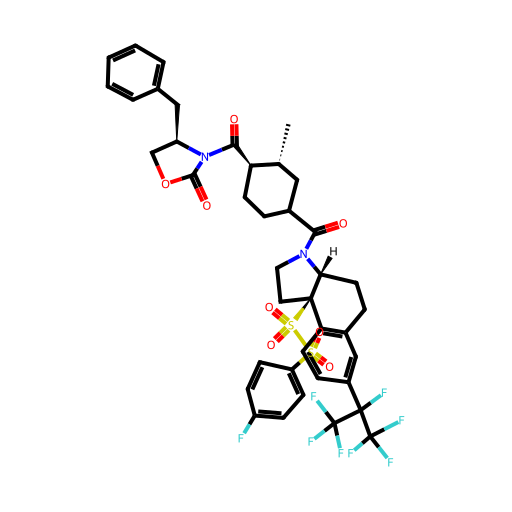 C[C@@H]1CC(C(=O)N2CC[C@@]3(S(=O)(=O)S(=O)(=O)c4ccc(F)cc4)c4ccc(C(F)(C(F)(F)F)C(F)(F)F)cc4CC[C@@H]23)CC[C@H]1C(=O)N1C(=O)OC[C@H]1Cc1ccccc1